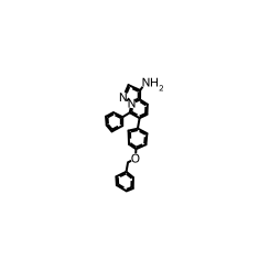 Nc1cnn2c(-c3ccccc3)c(-c3ccc(OCc4ccccc4)cc3)ccc12